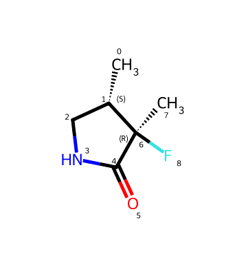 C[C@H]1CNC(=O)[C@]1(C)F